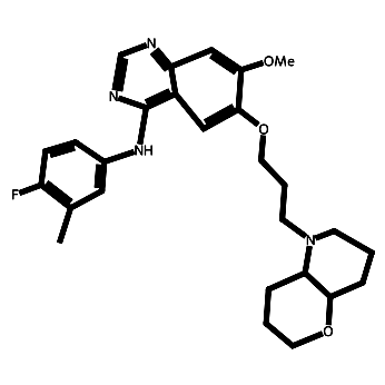 COc1cc2ncnc(Nc3ccc(F)c(C)c3)c2cc1OCCCN1CCCC2OCCCC21